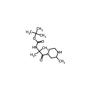 CC1CN(C(=O)C(C)(C)NC(=O)OC(C)(C)C)CCN1